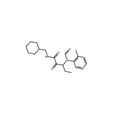 CCC(C(=O)C(=O)NCC1CCCCC1)N(C=O)c1cnccc1C